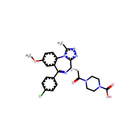 COc1ccc2c(c1)C(c1ccc(Cl)cc1)=N[C@@H](CC(=O)N1CCN(C(=O)O)CC1)c1nnc(C)n1-2